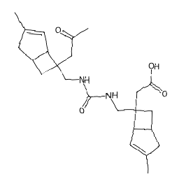 CC(=O)CC1(CNC(=O)NCC2(CC(=O)O)CC3CC(C)=CC32)CC2CC(C)=CC21